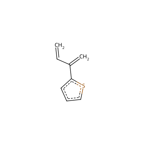 C=CC(=C)c1cccs1